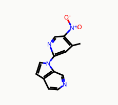 Cc1cc(-n2ccc3ccncc32)ncc1[N+](=O)[O-]